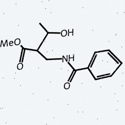 COC(=O)C(CNC(=O)c1ccccc1)C(C)O